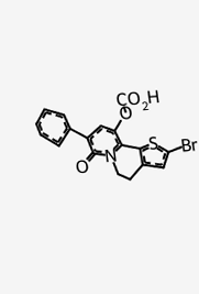 O=C(O)Oc1cc(-c2ccccc2)c(=O)n2c1-c1sc(Br)cc1CC2